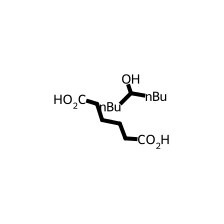 CCCCC(O)CCCC.O=C(O)CCCCC(=O)O